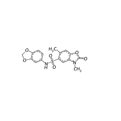 Cc1cc2oc(=O)n(C)c2cc1S(=O)(=O)Nc1ccc2c(c1)OCO2